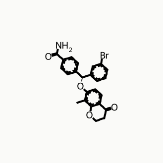 Cc1c(O[C@H](c2ccc(C(N)=O)cc2)c2cccc(Br)c2)ccc2c1OCCC2=O